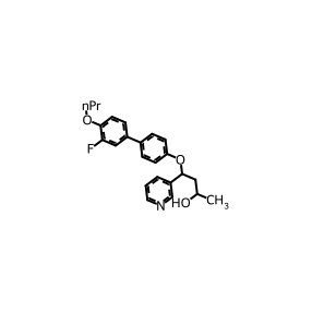 CCCOc1ccc(-c2ccc(OC(CC(C)O)c3cccnc3)cc2)cc1F